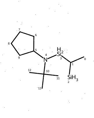 CC([SiH3])[SiH2]N(C1CCCC1)C(C)(C)C